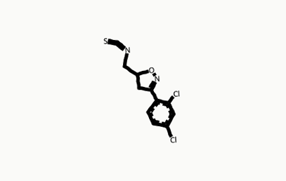 S=C=NCC1CC(c2ccc(Cl)cc2Cl)=NO1